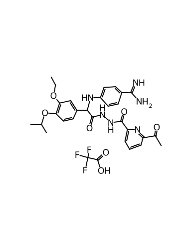 CCOc1cc(C(Nc2ccc(C(=N)N)cc2)C(=O)NNC(=O)c2cccc(C(C)=O)n2)ccc1OC(C)C.O=C(O)C(F)(F)F